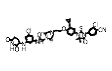 C[C@@H]1CN(CCOc2ccc(N3C(=S)N(c4ccc(C#N)c(Cl)c4)C(=O)C3(C)C)cc2C2CC2)C[C@H](C)N1CC(=O)Nc1cc(Cl)cc(NC2CCC(=O)NC2=O)c1